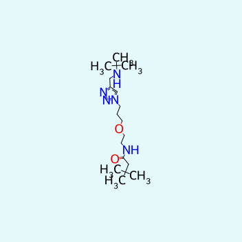 CC(C)(C)CC(=O)NCCOCCCn1cc(CNC(C)(C)C)nn1